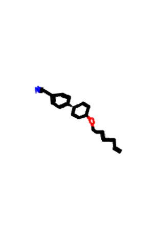 C=CCCCCO[C@H]1CC[C@H](c2ccc(C#N)cc2)CC1